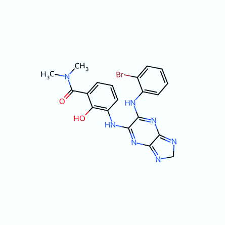 CN(C)C(=O)c1cccc(Nc2nc3c(nc2Nc2ccccc2Br)=NCN=3)c1O